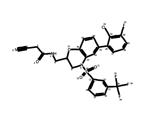 N#CCC(=O)NCC1CN(S(=O)(=O)c2cccc(C(F)(F)F)c2)c2cc(-c3cccc(F)c3Cl)ccc2O1